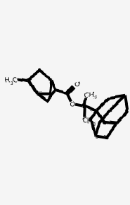 CC1CC2CC1CC2C(=O)OC(C)(C)C12CC3CC(CC(C3)C1)C2